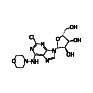 OC[C@H]1O[C@@H](n2cnc3c(NN4CCOCC4)nc(Cl)nc32)[C@H](O)[C@@H]1O